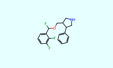 Fc1cccc(C(F)OCC2CNCC2c2ccccc2)c1F